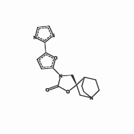 O=C1O[C@]2(CN3CCC2CC3)CN1c1ccc(-c2nccs2)o1